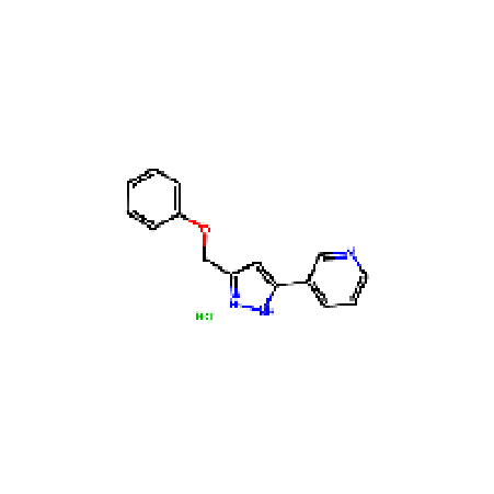 Cl.c1ccc(OCc2cc(-c3cccnc3)[nH]n2)cc1